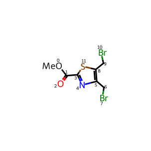 COC(=O)c1nc(CBr)c(CBr)s1